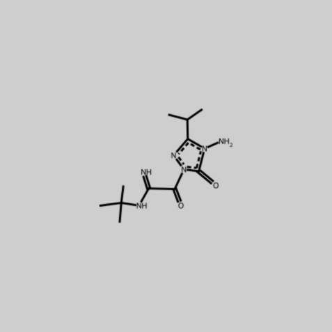 CC(C)c1nn(C(=O)C(=N)NC(C)(C)C)c(=O)n1N